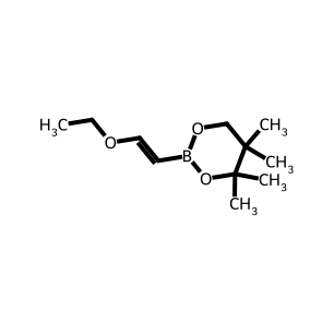 CCOC=CB1OCC(C)(C)C(C)(C)O1